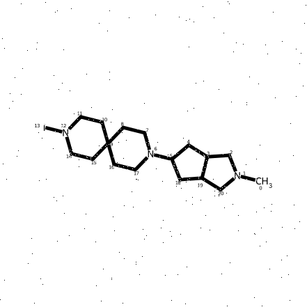 CN1CC2CC(N3CCC4(CCN(I)CC4)CC3)CC2C1